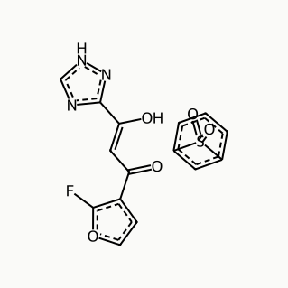 O=C(C=C(O)c1nc[nH]n1)c1ccoc1F.O=S1(=O)c2cccc1c2